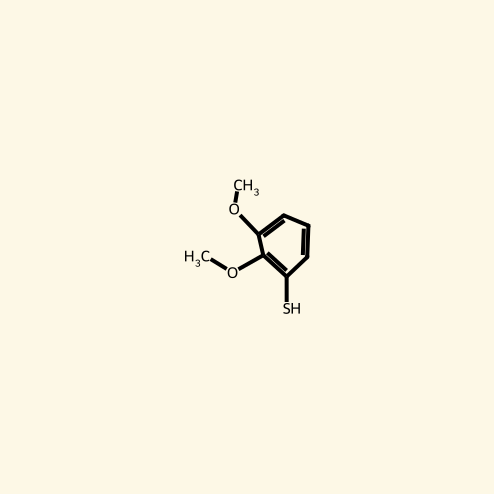 COc1cccc(S)c1OC